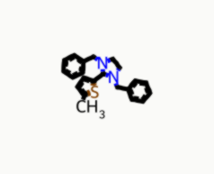 Cc1ccc(C2N(Cc3ccccc3)CCN2Cc2ccccc2)s1